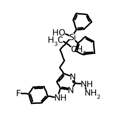 CC(C)(CCCc1cc(Nc2ccc(F)cc2)nc(NN)n1)[Si](O)(c1ccccc1)c1ccccc1